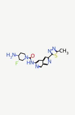 Cc1nnc(-c2cc3cc(NC(=O)N4CC[C@H](N)[C@@H](F)C4)ncc3cn2)s1